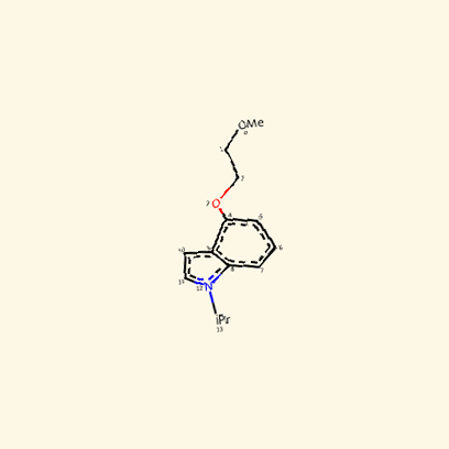 COCCOc1cccc2c1ccn2C(C)C